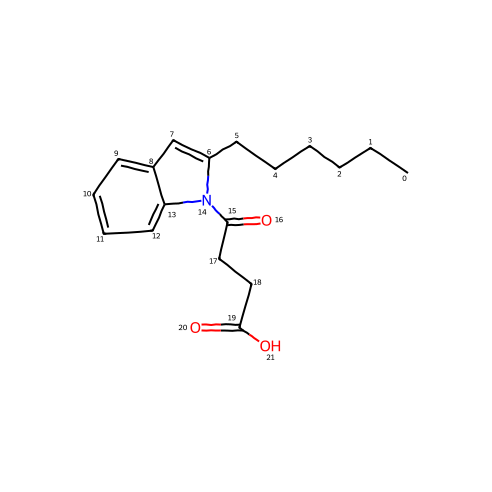 CCCCCCc1cc2ccccc2n1C(=O)CCC(=O)O